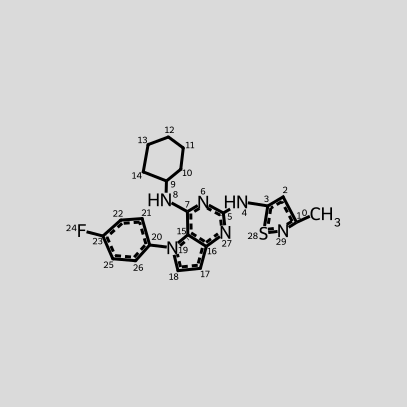 Cc1cc(Nc2nc(NC3CCCCC3)c3c(ccn3-c3ccc(F)cc3)n2)sn1